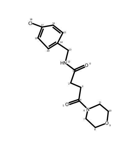 O=C(CCC(=O)N1CCOCC1)NCc1ccc(Cl)cc1